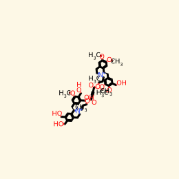 COc1cc2c(cc1OC)[C@@H](Cc1cc(CO)c(OC)c(OC)c1)[N@+](C)(CCCOC(=O)C#CC(=O)OCCC[N@+]1(C)CCc3cc(CO)c(CO)cc3[C@H]1Cc1cc(CO)c(CO)c(OC)c1)CC2